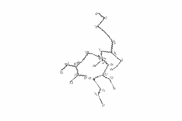 CCCCC(CC)C[N+](C)(CC(CC)CCCC)CC(CC)C(C)C